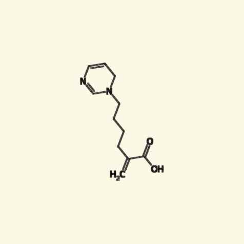 C=C(CCCCN1C=NC=CC1)C(=O)O